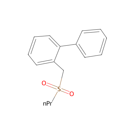 CCCS(=O)(=O)Cc1ccccc1-c1ccccc1